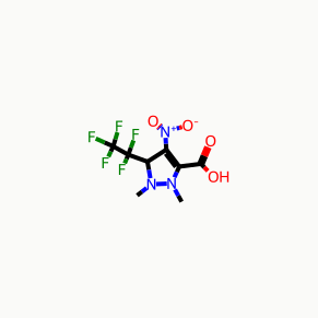 CN1C(C(=O)O)=C([N+](=O)[O-])C(C(F)(F)C(F)(F)F)N1C